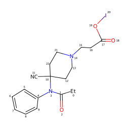 CCC(=O)N(c1ccccc1)C1(C#N)CCN(CCC(=O)OI)CC1